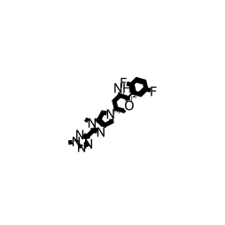 Cn1nnc(-c2nc3c(n2C)CN([C@H]2CO[C@H](c4cc(F)ccc4F)[C@@H](N)C2)C3)n1